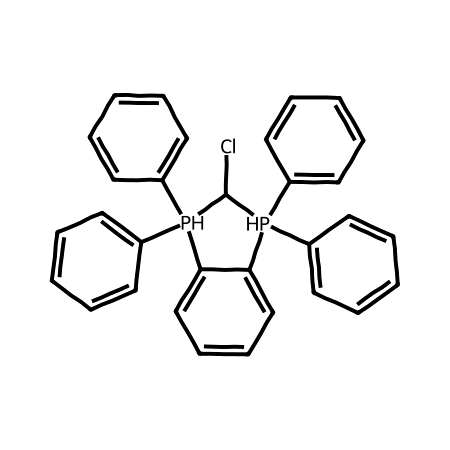 ClC1[PH](c2ccccc2)(c2ccccc2)c2ccccc2[PH]1(c1ccccc1)c1ccccc1